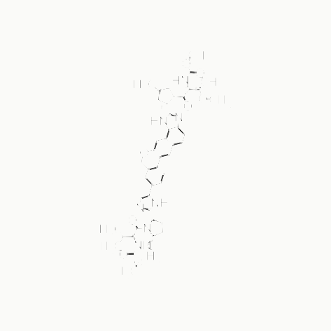 COC(=O)N[C@H](C(=O)N1[C@@H](C)CC[C@H]1c1ncc(-c2ccc3c(c2)COc2cc4c(ccc5nc([C@@H]6C[C@H](C)CC6C(=O)[C@@H](NC(=O)OC)[C@@H](C)OC)[nH]c54)cc2-3)[nH]1)C(C)C